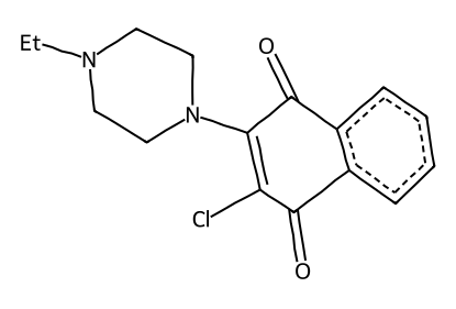 CCN1CCN(C2=C(Cl)C(=O)c3ccccc3C2=O)CC1